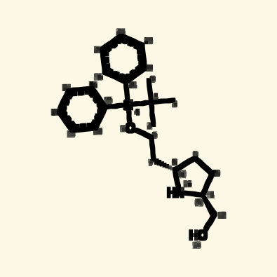 CC(C)(C)[Si](OCC[C@@H]1CC[C@@H](CO)N1)(c1ccccc1)c1ccccc1